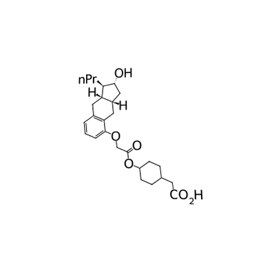 CCC[C@@H]1[C@H]2Cc3cccc(OCC(=O)OC4CCC(CC(=O)O)CC4)c3C[C@H]2C[C@H]1O